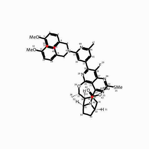 COc1ccc(CN(Cc2ccc(OC)cc2)c2cc(-c3nc4c5c(nc(SC)nc5c3F)N3C[C@H]5CC[C@@H]([C@H]3[C@H](C)O4)N5C(=O)OC(C)(C)C)cc(C)n2)cc1